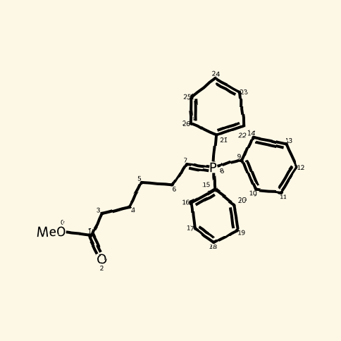 COC(=O)CCCCC=P(c1ccccc1)(c1ccccc1)c1ccccc1